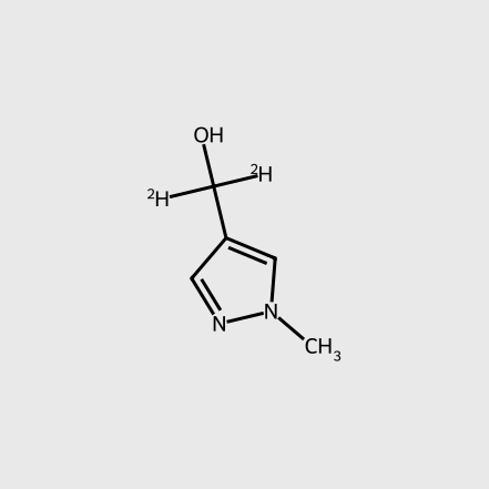 [2H]C([2H])(O)c1cnn(C)c1